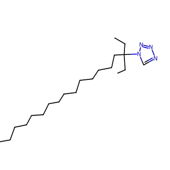 CCCCCCCCCCCCCCCC(CC)(CC)n1cnnn1